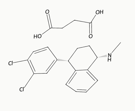 CN[C@H]1CC[C@@H](c2ccc(Cl)c(Cl)c2)c2ccccc21.O=C(O)CCC(=O)O